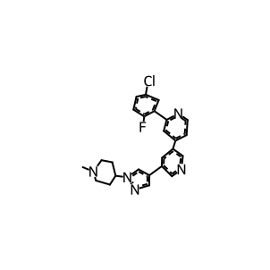 CN1CCC(n2cc(-c3cncc(-c4ccnc(-c5cc(Cl)ccc5F)c4)c3)cn2)CC1